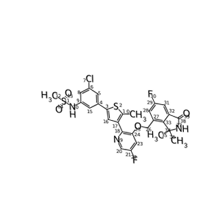 Cc1sc(-c2cc(Cl)cc(NS(C)(=O)=O)c2)cc1-c1ncc(F)cc1OCc1cc(F)cc2c1C(C)(C)NC2=O